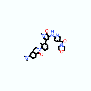 Cc1c(-c2cc(Nc3ccc(C(=O)N4CCOCC4)cn3)c(=O)n(C)c2)cccc1N1CCc2cc(N(C)C)ccc2C1=O